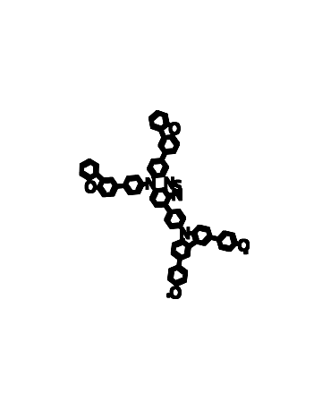 COc1ccc(-c2ccc3c(c2)c2cc(-c4ccc(OC)cc4)ccc2n3-c2ccc(-c3ccc(N(c4ccc(-c5ccc6oc7ccccc7c6c5)cc4)c4ccc(-c5ccc6oc7ccccc7c6c5)cc4)c4nsnc34)cc2)cc1